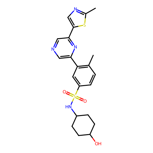 Cc1ncc(-c2cncc(-c3cc(S(=O)(=O)NC4CCC(O)CC4)ccc3C)n2)s1